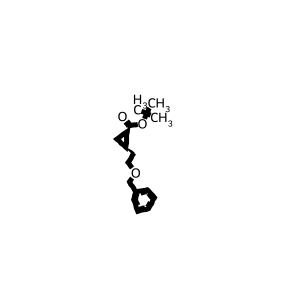 CC(C)(C)OC(=O)[C@H]1C[C@@H]1CCOCc1ccccc1